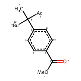 COC(=O)c1ccc(C(C)(C(C)=O)C(C)(C)C)cc1